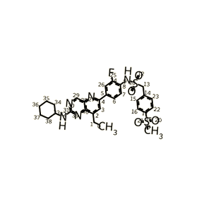 CCc1cc(-c2ccc(NS(=O)(=O)Cc3ccc(S(C)(=O)=O)cc3)c(F)c2)nc2cnc(NC3CCCCC3)nc12